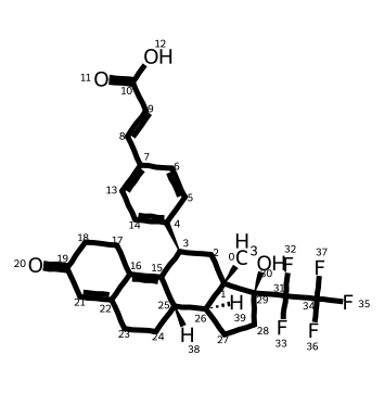 C[C@]12C[C@H](c3ccc(/C=C/C(=O)O)cc3)C3=C4CCC(=O)C=C4CC[C@H]3[C@@H]1CC[C@@]2(O)C(F)(F)C(F)(F)F